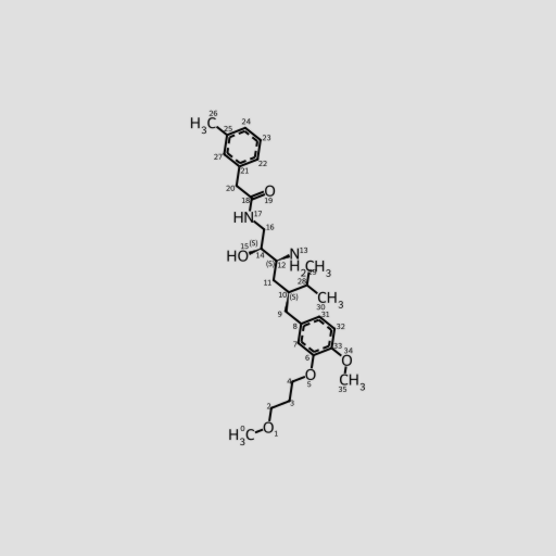 COCCCOc1cc(C[C@@H](C[C@H](N)[C@@H](O)CNC(=O)Cc2cccc(C)c2)C(C)C)ccc1OC